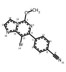 COc1nc(-c2ccc(C#N)cc2)c(Br)c2nccn12